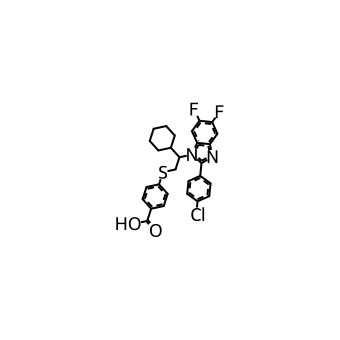 O=C(O)c1ccc(SCC(C2CCCCC2)n2c(-c3ccc(Cl)cc3)nc3cc(F)c(F)cc32)cc1